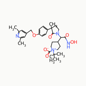 Cc1cc(COc2ccc(C3(C)CCN(C(C(=O)NO)C4CC[N+](C(=O)[O-])(C(C)(C)C)CC4)C3=O)cc2)cc(C)n1